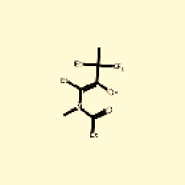 CCC(=O)N(C)/C(CC)=C(\O)C(C)(CC)C(F)(F)F